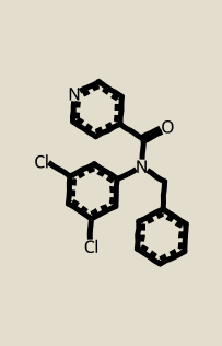 O=C(c1ccncc1)N(Cc1ccccc1)c1cc(Cl)cc(Cl)c1